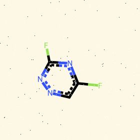 Fc1cnnc(F)n1